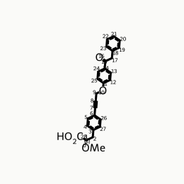 CO[C@@H](Cc1ccc(C#CCOc2ccc(C(=O)Cc3ccccc3)cc2)cc1)C(=O)O